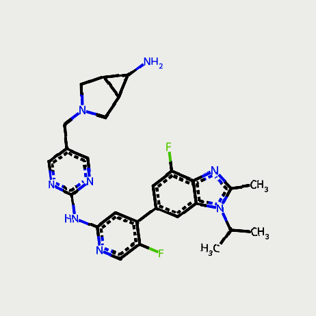 Cc1nc2c(F)cc(-c3cc(Nc4ncc(CN5CC6C(N)C6C5)cn4)ncc3F)cc2n1C(C)C